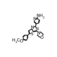 COc1ccc(-c2cc3nc(-c4ccc(N)nc4)nc(N4CCOCC4)c3s2)cc1